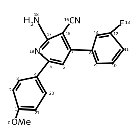 COc1ccc(-c2cc(-c3cccc(F)c3)c(C#N)c(N)n2)cc1